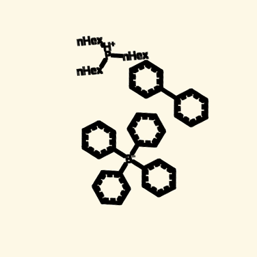 CCCCCC[PH+](CCCCCC)CCCCCC.c1ccc(-c2ccccc2)cc1.c1ccc([B-](c2ccccc2)(c2ccccc2)c2ccccc2)cc1